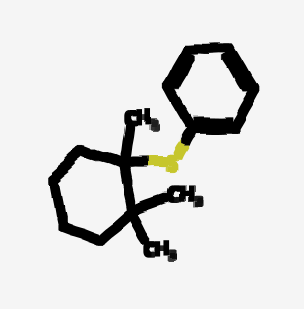 CC1(C)CCCCC1(C)Sc1ccccc1